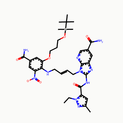 CCn1nc(C)cc1C(=O)Nc1nc2cc(C(N)=O)cnc2n1C/C=C/CNc1c(OCCCO[Si](C)(C)C(C)(C)C)cc(C(N)=O)cc1[N+](=O)[O-]